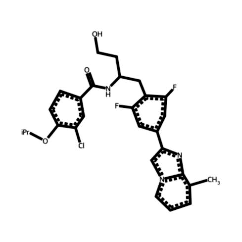 Cc1cccn2cc(-c3cc(F)c(CC(CCO)NC(=O)c4ccc(OC(C)C)c(Cl)c4)c(F)c3)nc12